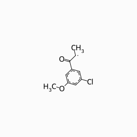 C[CH]C(=O)c1cc(Cl)cc(OC)c1